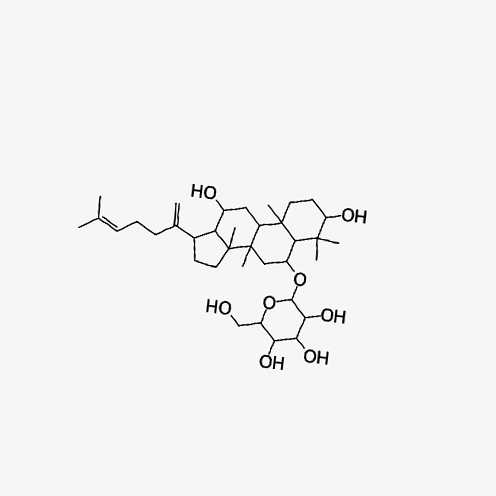 C=C(CCC=C(C)C)C1CCC2(C)C1C(O)CC1C3(C)CCC(O)C(C)(C)C3C(OC3OC(CO)C(O)C(O)C3O)CC12C